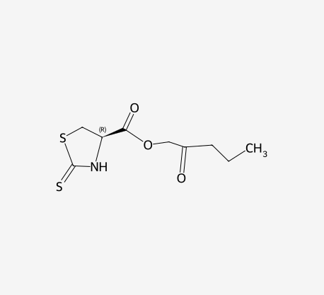 CCCC(=O)COC(=O)[C@@H]1CSC(=S)N1